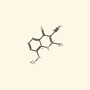 COc1cccc2c(=O)c(C#N)c(N)oc12